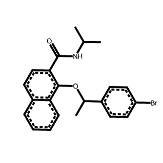 CC(C)NC(=O)c1ccc2ccccc2c1OC(C)c1ccc(Br)cc1